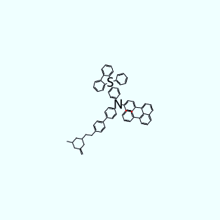 C=C1CC(C)CC(CCc2ccc(-c3ccc(N(c4ccc(-c5cccc6cccc(-c7ccccc7)c56)cc4)c4ccc(S5(c6ccccc6)c6ccccc6-c6ccccc65)cc4)cc3)cc2)C1